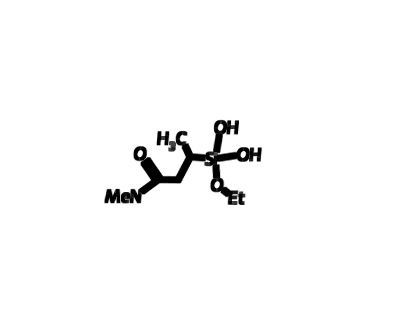 CCO[Si](O)(O)C(C)CC(=O)NC